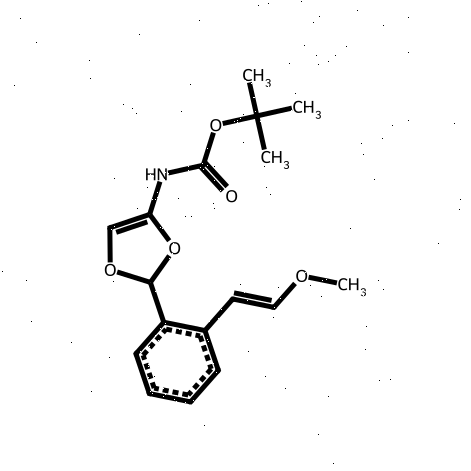 COC=Cc1ccccc1C1OC=C(NC(=O)OC(C)(C)C)O1